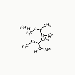 COC(C)[O][Al+2].COC(C)[O][Al+2].[H-].[H-].[H-].[H-]